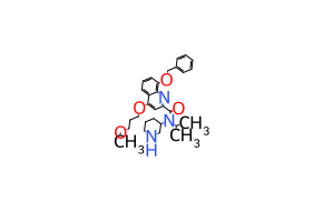 COCCCOc1cc(C(=O)N(C(C)C)[C@@H]2CCCNC2)nc2c(OCc3ccccc3)cccc12